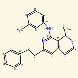 O=CC1NC=Cc2cc(CCc3ccccc3)nc(Nc3cccc(C(F)(F)F)c3)c21